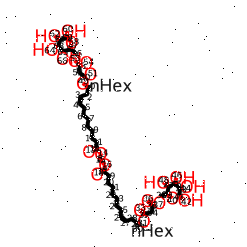 CCCCCCC(C/C=C\CCCCCCCC(=O)OCOC(=O)CCCCCCC/C=C\CC(CCCCCC)OC(=O)CC(=O)OCC1OC(O)C(O)C(O)C1O)OC(=O)CC(=O)OCC1OC(O)C(O)C(O)C1O